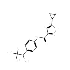 CC(C)(C)C(N)c1ccc(NC(=O)c2cc(C3CC3)on2)cc1